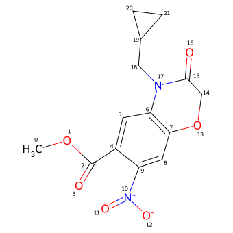 COC(=O)c1cc2c(cc1[N+](=O)[O-])OCC(=O)N2CC1CC1